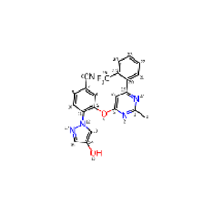 Cc1nc(Oc2cc(C#N)ccc2-n2cc(O)cn2)cc(-c2ccccc2C(F)(F)F)n1